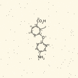 Cc1c(Oc2ccc(N)cn2)cccc1C(=O)O